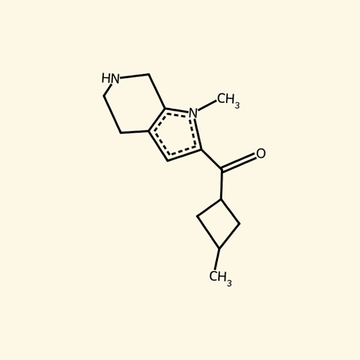 CC1CC(C(=O)c2cc3c(n2C)CNCC3)C1